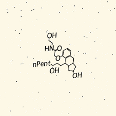 CCCCCC(O)CCC1c2c(cccc2OCC(=O)NCCO)CC2CC(O)CC21